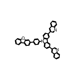 c1ccc2ncc(-c3ccc4c(c3)c3cc(-c5cnc6ccccc6c5)ccc3n4-c3ccc(-c4ccc5c(c4)oc4ccccc45)cc3)cc2c1